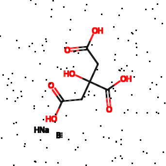 O=C(O)CC(O)(CC(=O)O)C(=O)O.[B].[NaH]